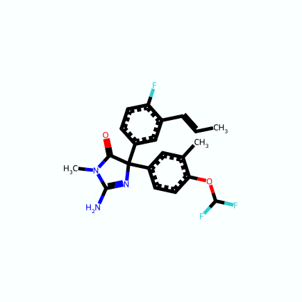 CC=Cc1cc(C2(c3ccc(OC(F)F)c(C)c3)N=C(N)N(C)C2=O)ccc1F